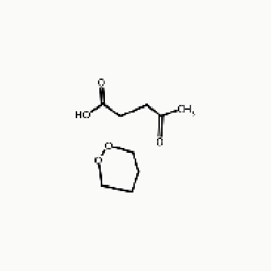 C1CCOOC1.CC(=O)CCC(=O)O